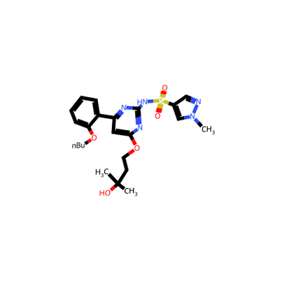 CCCCOc1ccccc1-c1cc(OCCC(C)(C)O)nc(NS(=O)(=O)c2cnn(C)c2)n1